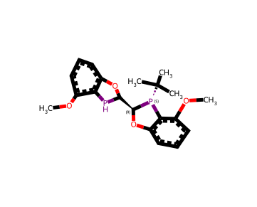 COc1cccc2c1PC([C@@H]1Oc3cccc(OC)c3[P@@]1C(C)(C)C)O2